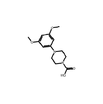 COc1cc(OC)cc(N2CCN(C(=O)O)CC2)c1